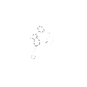 C=C1CC(Nc2nccc(-c3c[nH]c4cc(CCn5ccnc5)ccc34)n2)CC(C)(C)N1